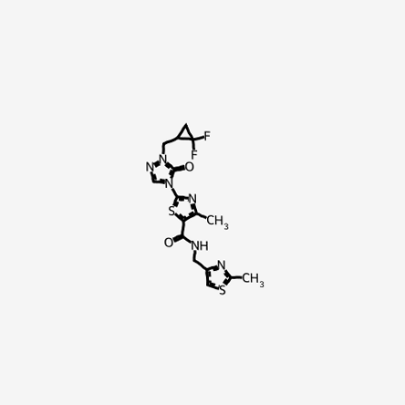 Cc1nc(CNC(=O)c2sc(-n3cnn(CC4CC4(F)F)c3=O)nc2C)cs1